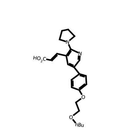 CCCCOCCOc1ccc(-c2cnc(N3CCCC3)c(C=CC(=O)O)c2)cc1